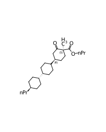 CCCOC(=O)[C@@]1(C)CC[C@@H](C2CCC([C@H]3CC[C@H](CCC)CC3)CC2)CC1=O